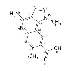 Cc1cc2nc(N)c3cnn(C)c3c2cc1C(=O)O